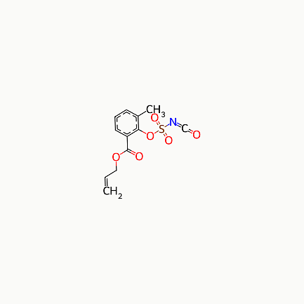 C=CCOC(=O)c1cccc(C)c1OS(=O)(=O)N=C=O